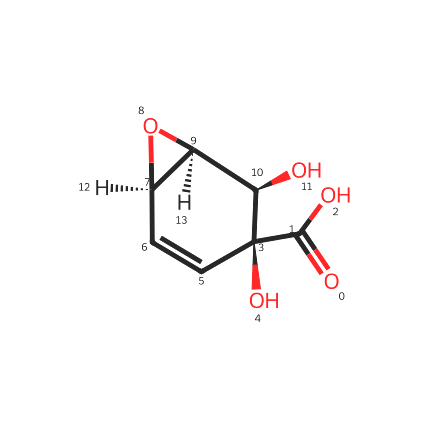 O=C(O)[C@]1(O)C=C[C@H]2O[C@H]2[C@H]1O